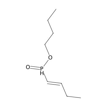 CCC=C[PH](=O)OCCCC